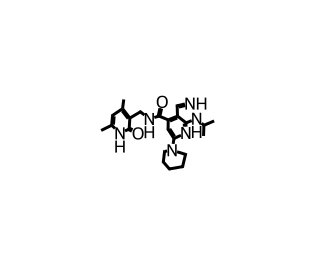 Cc1cc(C)c(CNC(=O)c2cc(N3CCCCC3)nc(NC(C)C)c2C=N)c(=O)[nH]1